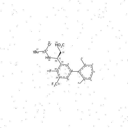 Cc1cccc(C)c1-c1cc([C@H](CC(=O)O)N[S+]([O-])C(C)(C)C)c(F)c(C(F)(F)F)c1